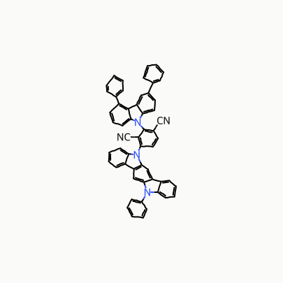 N#Cc1ccc(-n2c3ccccc3c3cc4c(cc32)c2ccccc2n4-c2ccccc2)c(C#N)c1-n1c2ccc(-c3ccccc3)cc2c2c(-c3ccccc3)cccc21